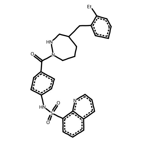 CCc1ccccc1CC1CCCN(C(=O)c2ccc(NS(=O)(=O)c3cccc4cccnc34)cc2)NC1